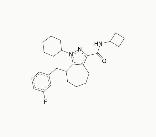 O=C(NC1CCC1)c1nn(C2CCCCC2)c2c1CCCCC2Cc1cccc(F)c1